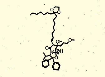 CCCCCCCC1(CCCCCCC=C[C@H](C(=O)N2C(=S)OC(c3ccccc3)(c3ccccc3)C2C(C)C)[C@@](O)(CCCOC)C(=O)O)OCCO1